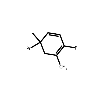 CC(C)C1(C)C=CC(F)=C(C(F)(F)F)C1